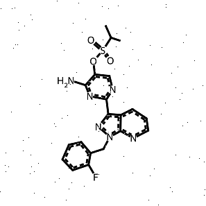 CC(C)S(=O)(=O)Oc1cnc(-c2nn(Cc3ccccc3F)c3ncccc23)nc1N